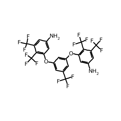 Nc1cc(Oc2cc(Oc3cc(N)cc(C(F)(F)F)c3C(F)(F)F)cc(C(F)(F)F)c2)c(C(F)(F)F)c(C(F)(F)F)c1